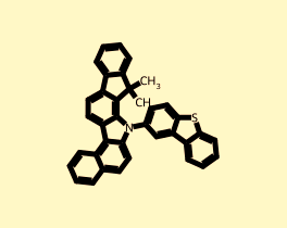 CC1(C)c2ccccc2-c2ccc3c4c5ccccc5ccc4n(-c4ccc5sc6ccccc6c5c4)c3c21